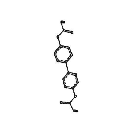 CCC(C)C(=O)Oc1ccc(-c2ccc(OC(=O)C(C)CC)cc2)cc1